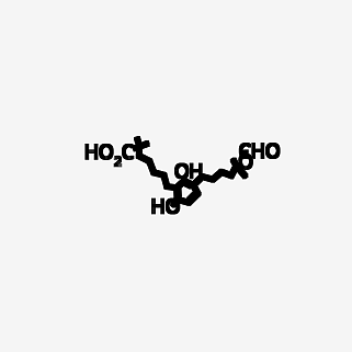 CC(C)(CCCCc1ccc(O)c(CCCCCC(C)(C)C(=O)O)c1O)OC=O